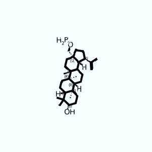 C=C(C)[C@@H]1CC[C@]2(COP)CC[C@]3(C)C(CC[C@@H]4[C@@]5(C)CC[C@H](O)C(C)(C)[C@@H]5CC[C@]43C)[C@@H]12